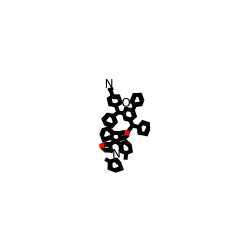 Cc1ccccc1N1C2=C(C=CCC2C)C2(c3ccccc3-c3cc(C(C4=CC(C(c5ccccc5)C5C=CC(C#N)=CC5)C5Oc6ccccc6C5=C4)c4ccccc4)ccc32)c2ccccc21